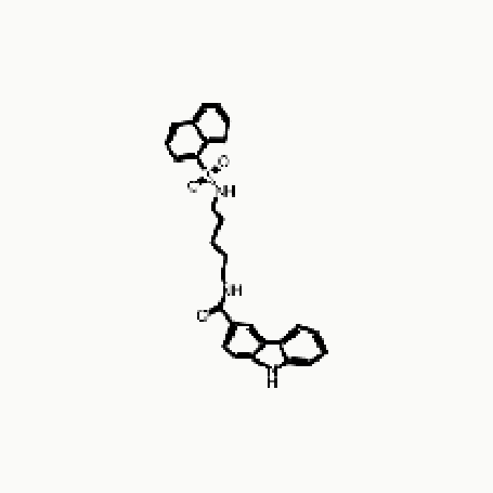 O=C(NCCCCCNS(=O)(=O)c1cccc2ccccc12)c1ccc2[nH]c3ccccc3c2c1